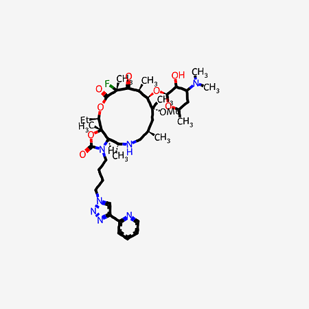 CC[C@H]1OC(=O)[C@](C)(F)C(=O)[C@@H](C)[C@@H](O[C@@H]2OC(C)CC(N(C)C)C2O)[C@](C)(OC)C[C@@H](C)CN[C@H](C)[C@H]2N(CCCCn3cc(-c4ccccn4)nn3)C(=O)O[C@]12C